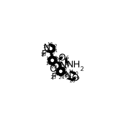 NC1=N[C@]2(COC1)c1cc(-c3cccnc3F)ccc1Oc1c(F)cc(N3CCOCC3)cc12